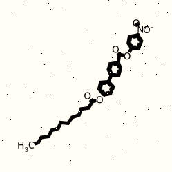 CCCCCCCCCCCCC(=O)Oc1ccc(-c2ccc(C(=O)Oc3ccc([N+](=O)[O-])cc3)cc2)cc1